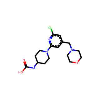 O=C(O)NC1CCN(c2cc(CN3CCOCC3)cc(Cl)n2)CC1